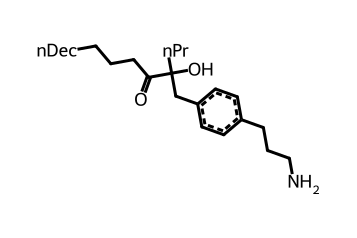 CCCCCCCCCCCCCC(=O)C(O)(CCC)Cc1ccc(CCCN)cc1